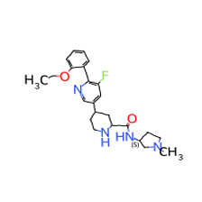 CCOc1ccccc1-c1ncc(C2CCNC(C(=O)N[C@H]3CCN(C)C3)C2)cc1F